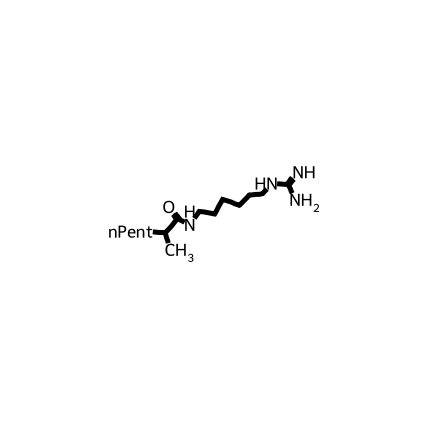 CCCCCC(C)C(=O)NCCCCCCNC(=N)N